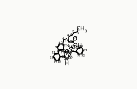 CCCCCN(Cc1ccc(-c2ccccc2-c2nnn[nH]2)cc1)[C@@H](CS(O)(O)Cc1ccccc1)C(=O)O